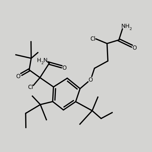 CCC(C)(C)c1cc(C(C)(C)CC)c(C(Cl)(C(N)=O)C(=O)C(C)(C)C)cc1OCCC(Cl)C(N)=O